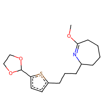 COC1=NC(CCCc2ccc(C3OCCO3)s2)CCCC1